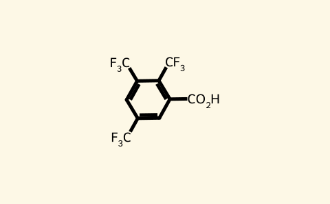 O=C(O)c1cc(C(F)(F)F)cc(C(F)(F)F)c1C(F)(F)F